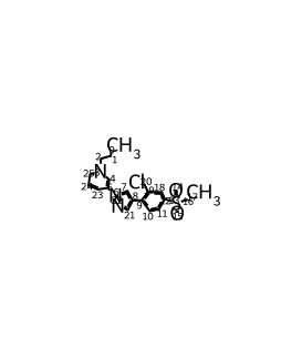 CCCN1C=C(n2cc(-c3ccc(S(=O)(=O)CC)cc3Cl)cn2)C=CC1